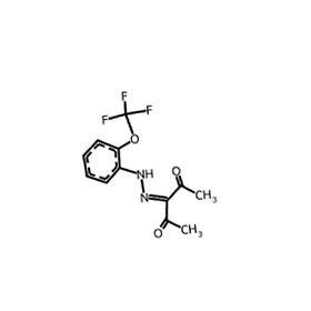 CC(=O)C(=NNc1ccccc1OC(F)(F)F)C(C)=O